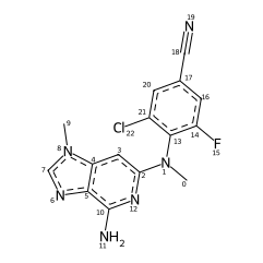 CN(c1cc2c(ncn2C)c(N)n1)c1c(F)cc(C#N)cc1Cl